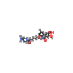 COc1cc(C(=O)N(C)c2ccc(C)cc2OCCCCCC(=O)N2CCC(N(C)C)CC2)ccc1O